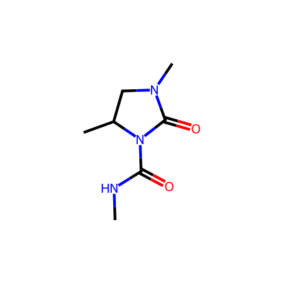 CNC(=O)N1C(=O)N(C)CC1C